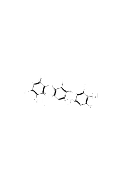 Nc1c(F)cc(C(F)(F)F)c(Oc2c(F)cc(C(F)(F)F)c(Oc3c(C(F)(F)F)cc(F)c(N)c3F)c2F)c1F